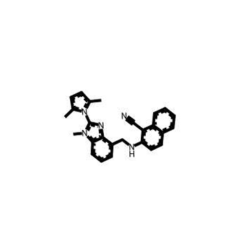 Cc1ccc(C)n1-c1nc2c(CNc3ccc4ccccc4c3C#N)cccc2n1C